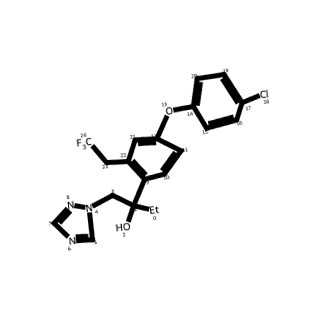 CCC(O)(Cn1cncn1)c1ccc(Oc2ccc(Cl)cc2)cc1CC(F)(F)F